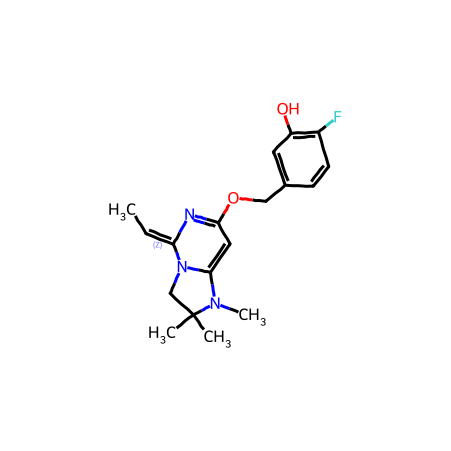 C/C=C1\N=C(OCc2ccc(F)c(O)c2)C=C2N1CC(C)(C)N2C